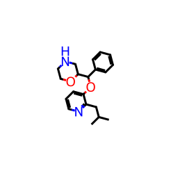 CC(C)Cc1ncccc1OC(c1ccccc1)C1CNCCO1